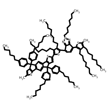 CCCCCCCCc1c(C)sc(-c2ccc(-c3sc(-c4cc5c(s4)-c4cc6c(cc4C5(c4ccc(CCCCCC)cc4)c4ccc(CCCCCC)cc4)-c4sc(C)cc4C6(c4ccc(CCCCCC)cc4)c4ccc(CCCCCC)cc4)c(CCCCCCCC)c3CCCCCCCC)c3nn(CCCCCCCC)nc23)c1CCCCCCCC